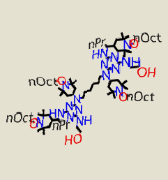 CCCCCCCCON1C(C)(C)CC(C(CCC)Nc2nc(NCCO)nc(N(CCCCCCN(c3nc(NCCO)nc(NC(CCC)C4CC(C)(C)N(OCCCCCCCC)C(C)(C)C4)n3)C3CC(C)(C)N(OCCCCCCCC)C(C)(C)C3)C3CC(C)(C)N(OCCCCCCCC)C(C)(C)C3)n2)CC1(C)C